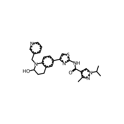 Cc1nn(C(C)C)cc1C(=O)Nc1nc(-c2ccc3c(c2)CCC(O)N3Cc2cccnc2)cs1